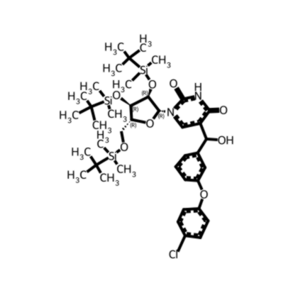 CC(C)(C)[Si](C)(C)OC[C@H]1O[C@@H](n2cc(C(O)c3cccc(Oc4ccc(Cl)cc4)c3)c(=O)[nH]c2=O)[C@H](O[Si](C)(C)C(C)(C)C)[C@@H]1O[Si](C)(C)C(C)(C)C